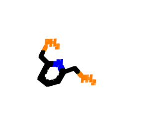 PCc1cccc(CP)n1